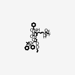 C=CCOCO[C@H]1C[C@H](n2cc(CC=CNC(=O)C(F)(F)F)c(NC(=O)c3ccccc3)nc2=O)O[C@@H]1CO[Si](c1ccccc1)(c1ccccc1)C(C)(C)C